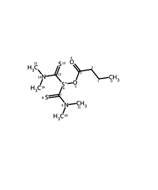 CCCC(=O)O[S+](C(=S)N(C)C)C(=S)N(C)C